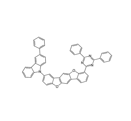 c1ccc(-c2ccc3c(c2)c2ccccc2n3-c2ccc3oc4cc5c(cc4c3c2)oc2c(-c3nc(-c4ccccc4)nc(-c4ccccc4)n3)cccc25)cc1